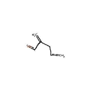 C=CCC(=C)[C]=S